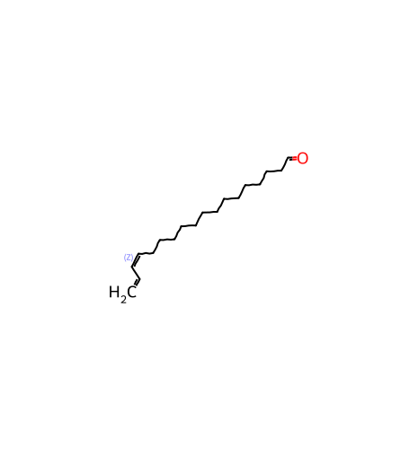 C=C/C=C\CCCCCCCCCCCCCC=O